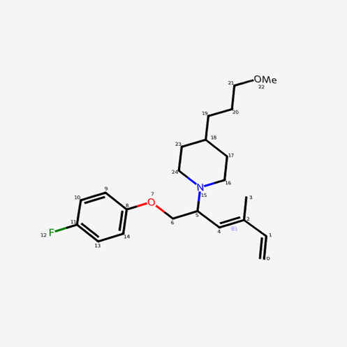 C=C/C(C)=C/C(COc1ccc(F)cc1)N1CCC(CCCOC)CC1